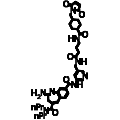 CCCN(CCC)C(=O)C1=Cc2ccc(C(=O)Nc3cncc(CNC(=O)CCCNC(=O)C4CCC(CN5C(=O)C=CC5=O)CC4)c3)cc2N=C(N)C1